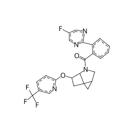 O=C(c1ccccc1-c1ncc(F)cn1)N1CC2CC23CC(Oc2ccc(C(F)(F)F)cn2)C13